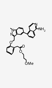 COCCCOC(=O)Cc1ccccc1OCc1nn(C)c2ccc(-c3cccc4c(N)nccc34)cc12